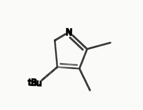 CC1=NCC(C(C)(C)C)=C1C